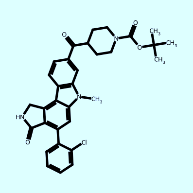 Cn1c2cc(C(=O)C3CCN(C(=O)OC(C)(C)C)CC3)ccc2c2c3c(c(-c4ccccc4Cl)cc21)C(=O)NC3